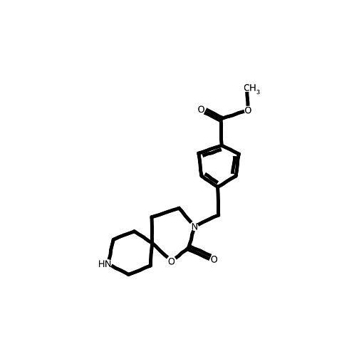 COC(=O)c1ccc(CN2CCC3(CCNCC3)OC2=O)cc1